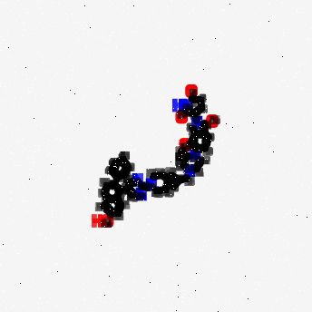 O=C1CC[C@H](N2Cc3c(ccc4c3OC[C@H]3CN(CC5CC6(CCN(c7ncc([C@H]8c9ccc(O)cc9CC[C@H]8c8ccccc8)cn7)CC6)C5)CCN43)C2=O)C(=O)N1